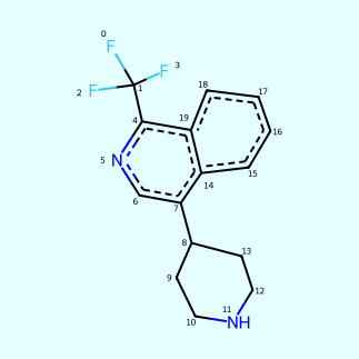 FC(F)(F)c1ncc(C2CCNCC2)c2ccccc12